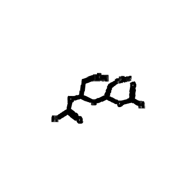 CCCCCCCCCCCC(OC(=O)CC)SC(CCCCCCCCCCC)OC(=O)CC